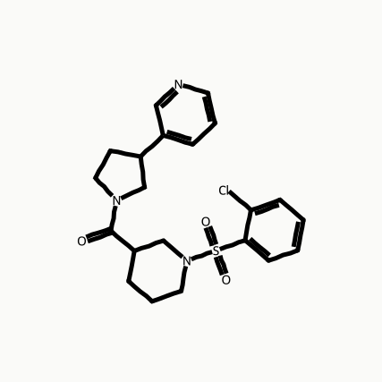 O=C(C1CCCN(S(=O)(=O)c2ccccc2Cl)C1)N1CCC(c2cccnc2)C1